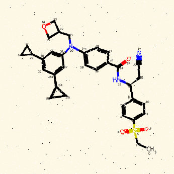 CCS(=O)(=O)c1ccc([C@H](CC#N)NC(=O)c2ccc(N(CC3COC3)c3cc(C4CC4)cc(C4CC4)c3)cc2)cc1